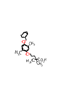 Cc1cc(OCc2ccccc2)c(C)cc1OCCCC(C)(C)C(=O)O